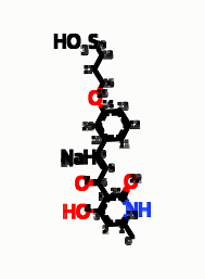 Cc1cc(O)c(C(=O)C=Cc2cccc(OCCCS(=O)(=O)O)c2)c(=O)[nH]1.[NaH]